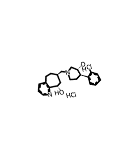 Cl.O[C@H]1C[C@H](CN2CC[C@H](c3ccccc3Cl)[C@@H](O)C2)CCc2cccnc21